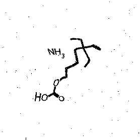 CCC(CC)(CC)CCCCOC(=O)O.N